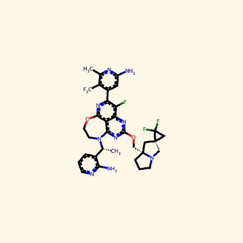 Cc1nc(N)cc(-c2nc3c4c(nc(OC[C@@]56CCCN5C[C@]5(CC5(F)F)C6)nc4c2F)N([C@H](C)c2cccnc2N)CCO3)c1C(F)(F)F